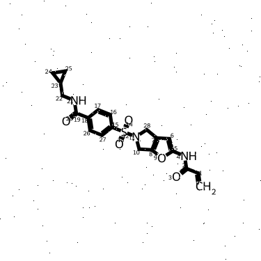 C=CC(=O)Nc1cc2c(o1)CN(S(=O)(=O)c1ccc(C(=O)NCC3CC3)cc1)C2